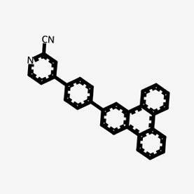 N#Cc1cc(-c2ccc(-c3ccc4c5ccccc5c5ccccc5c4c3)cc2)ccn1